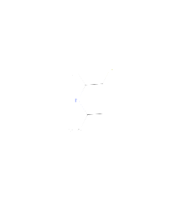 CNC(C)NC(CS)C(=O)O